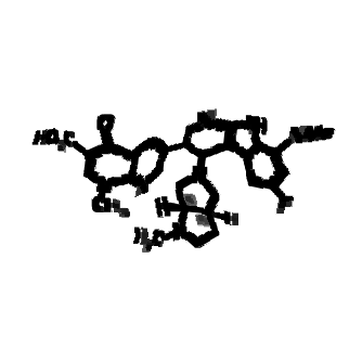 CNc1cc(F)cc2c1[nH]c1ncc(-c3cnc4c(c3)c(=O)c(C(=O)O)cn4C)c(N3C[C@@H]4CCN(C)[C@@H]4C3)c12